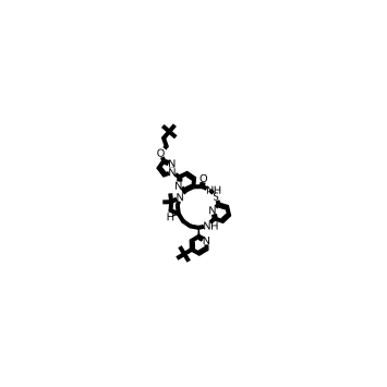 CC(C)(C)CCOc1ccn(-c2ccc3c(n2)N2C[C@@H](CC[C@H](c4cc(C(C)(C)C)ccn4)Nc4cccc(n4)SNC3=O)CC2(C)C)n1